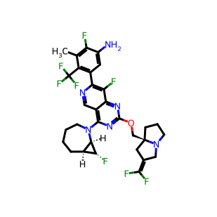 Cc1c(F)c(N)cc(-c2ncc3c(N4CCCC[C@@H]5[C@@H](F)[C@@H]54)nc(OC[C@@]45CCCN4CC(=C(F)F)C5)nc3c2F)c1C(F)(F)F